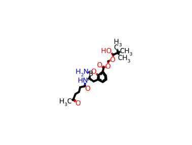 CC(=O)CCCC(=O)N[C@H]1Cc2cccc(C(=O)OCOC(O)C(C)(C)C)c2OB1N